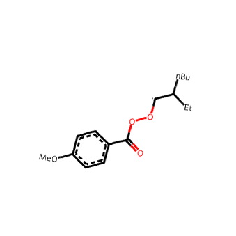 CCCCC([CH]OOC(=O)c1ccc(OC)cc1)CC